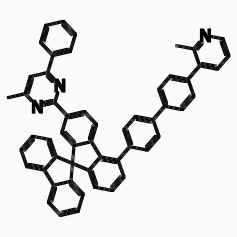 Cc1cc(-c2ccccc2)nc(-c2ccc3c(c2)C2(c4ccccc4-c4ccccc42)c2cccc(-c4ccc(-c5ccc(-c6cccnc6C)cc5)cc4)c2-3)n1